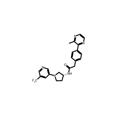 Cc1nccnc1-c1ccc(CC(=O)N[C@@H]2CCN(c3cncc(C(F)(F)F)c3)C2)cc1